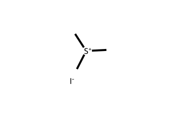 C[S+](C)C.[I-]